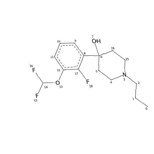 CCCN1CCC(O)(c2cccc(OC(F)F)c2F)CC1